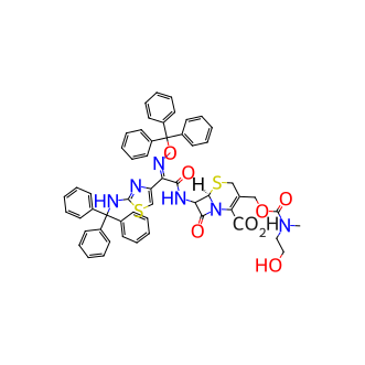 CN(CCO)C(=O)OCC1=C(C(=O)O)N2C(=O)C(NC(=O)/C(=N\OC(c3ccccc3)(c3ccccc3)c3ccccc3)c3csc(NC(c4ccccc4)(c4ccccc4)c4ccccc4)n3)[C@H]2SC1